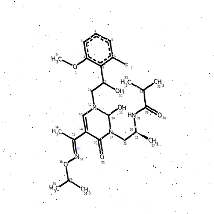 COc1cccc(F)c1C(O)CN1C=C(/C(C)=N/OC(C)C)C(=O)N(C[C@H](C)NC(=O)C(C)C)C1O